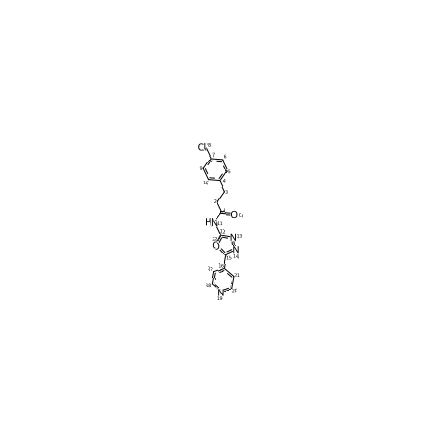 O=C(CCc1ccc(Cl)cc1)Nc1nnc(-c2ccncc2)o1